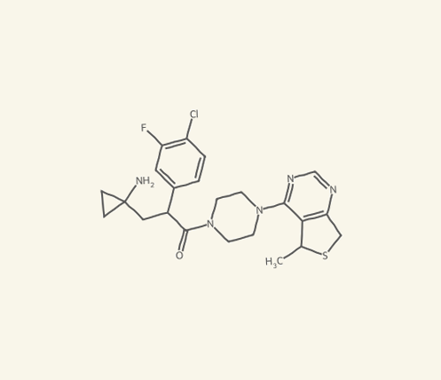 CC1SCc2ncnc(N3CCN(C(=O)C(CC4(N)CC4)c4ccc(Cl)c(F)c4)CC3)c21